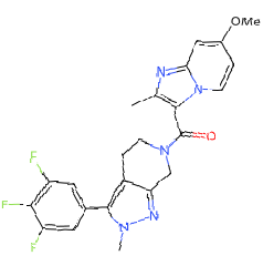 COc1ccn2c(C(=O)N3CCc4c(nn(C)c4-c4cc(F)c(F)c(F)c4)C3)c(C)nc2c1